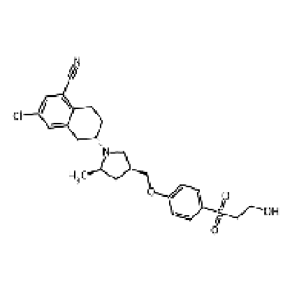 C[C@@H]1C[C@H](COc2ccc(S(=O)(=O)CCO)cc2)CN1[C@H]1CCc2c(C#N)cc(Cl)cc2C1